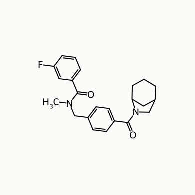 CN(Cc1ccc(C(=O)N2CC3CCCC2C3)cc1)C(=O)c1cccc(F)c1